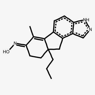 CCCC12CC/C(=N\O)C(C)=C1c1ccc3[nH]ncc3c1C2